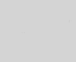 CC(C)CCCCCCC(=O)COCC1CCCC1